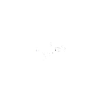 CC(C)CC(=O)Nc1ccc(-c2cnc(C3CCC(NC(=O)OC(C)C)CN3C(=O)OC(C)(C)C)s2)c(S(=O)(=O)NC(C)(C)C)c1